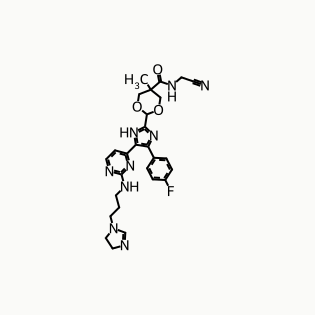 CC1(C(=O)NCC#N)COC(c2nc(-c3ccc(F)cc3)c(-c3ccnc(NCCCN4C=NCC4)n3)[nH]2)OC1